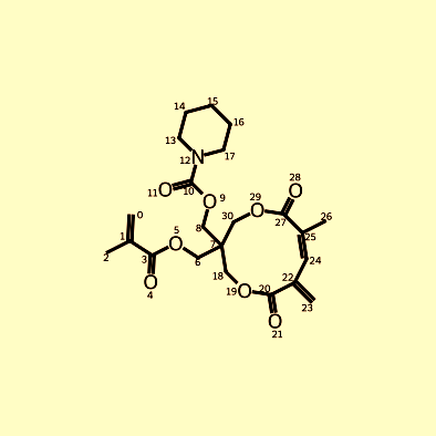 C=C(C)C(=O)OCC1(COC(=O)N2CCCCC2)COC(=O)C(=C)/C=C(/C)C(=O)OC1